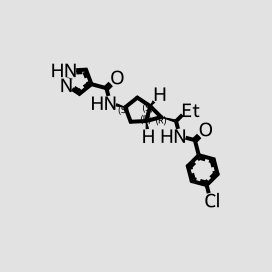 CCC(NC(=O)c1ccc(Cl)cc1)[C@H]1[C@@H]2C[C@@H](NC(=O)c3cn[nH]c3)C[C@@H]21